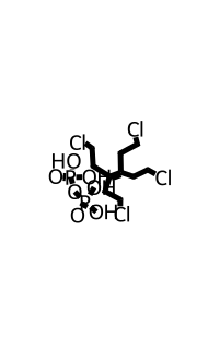 ClCCC(CCCl)=C(CCCl)CCCl.O=P(O)(O)OP(=O)(O)O